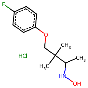 CC(NO)C(C)(C)COc1ccc(F)cc1.Cl